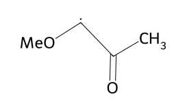 CO[CH]C(C)=O